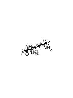 COC(=O)[C@@H](N)CCSSCC[C@H](N)C(=O)OC.Cl.Cl